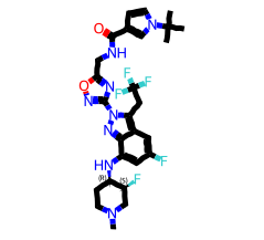 CN1CC[C@@H](Nc2cc(F)cc3c(CC(F)(F)F)n(-c4noc(CNC(=O)c5ccn(C(C)(C)C)c5)n4)nc23)[C@@H](F)C1